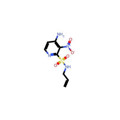 C=CCNS(=O)(=O)c1nccc(N)c1[N+](=O)[O-]